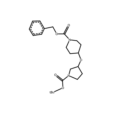 CC(C)(C)OC(=O)N1CCC(OC2CCN(C(=O)OCc3ccccc3)CC2)C1